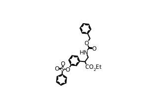 CCOC(=O)C(CNC(=O)OCc1ccccc1)c1cccc(OS(=O)(=O)c2ccccc2)c1